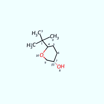 CC(C)(C)C1CC[C@H](O)CO1